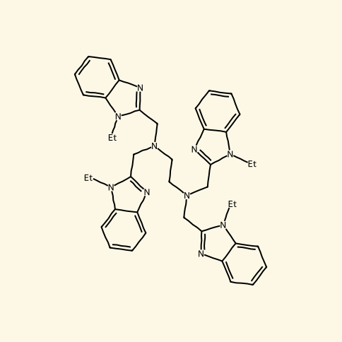 CCn1c(CN(CCN(Cc2nc3ccccc3n2CC)Cc2nc3ccccc3n2CC)Cc2nc3ccccc3n2CC)nc2ccccc21